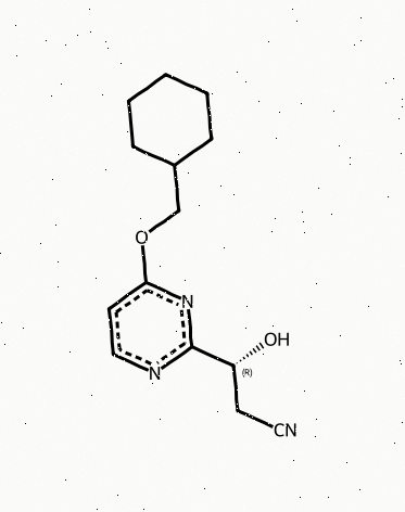 N#CC[C@@H](O)c1nccc(OCC2CCCCC2)n1